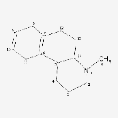 CN1CCCC2C3=C(CC=CC3)CCC21